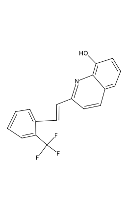 Oc1cccc2ccc(/C=C/c3ccccc3C(F)(F)F)nc12